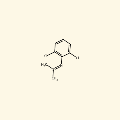 CS(C)=Nc1c(Cl)cccc1Cl